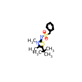 Cc1c(C(C)(C)C)s/c(=N\S(=O)(=O)Cc2ccccc2)n1C